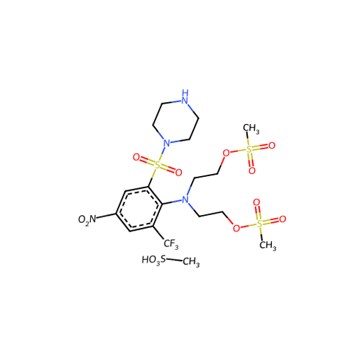 CS(=O)(=O)O.CS(=O)(=O)OCCN(CCOS(C)(=O)=O)c1c(C(F)(F)F)cc([N+](=O)[O-])cc1S(=O)(=O)N1CCNCC1